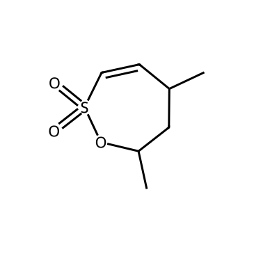 CC1C=CS(=O)(=O)OC(C)C1